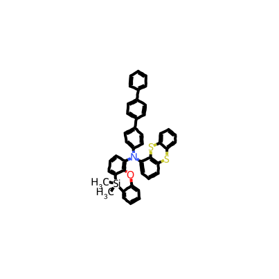 C[Si]1(C)c2ccccc2Oc2c(N(c3ccc(-c4ccc(-c5ccccc5)cc4)cc3)c3cccc4c3Sc3ccccc3S4)cccc21